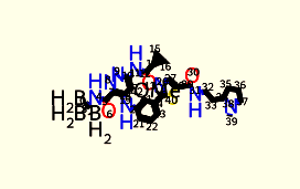 BC(B)(B)NC(=O)c1nnc(NC(=O)C2CC2)cc1Nc1cccc(-c2ncc(C(=O)NCCC3CCCN3C)s2)c1OC